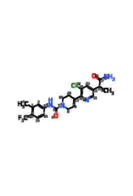 Cc1cc(NC(=O)N2CC=C(c3ncc(C(C)C(N)=O)cc3Cl)CC2)ccc1C(F)(F)F